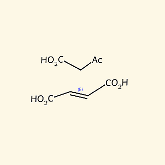 CC(=O)CC(=O)O.O=C(O)/C=C/C(=O)O